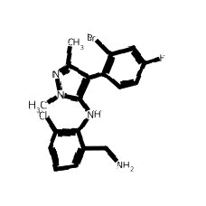 Cc1nn(C)c(Nc2c(Cl)cccc2CN)c1-c1ccc(F)cc1Br